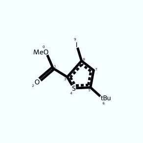 COC(=O)c1sc(C(C)(C)C)cc1I